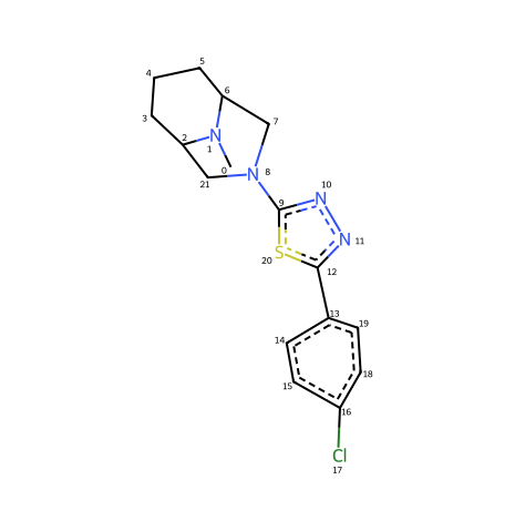 CN1C2CCCC1CN(c1nnc(-c3ccc(Cl)cc3)s1)C2